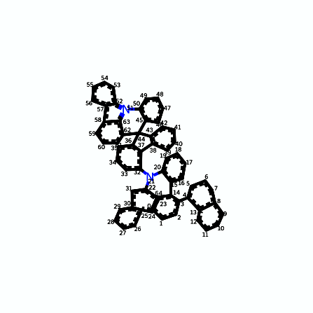 c1ccc(-c2cccc3ccccc23)c(-c2ccccc2N(c2ccc3ccccc3c2)c2cccc3c2-c2ccccc2C32c3ccccc3-n3c4ccccc4c4cccc2c43)c1